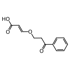 O=C(O)C=COCCC(=O)c1ccccc1